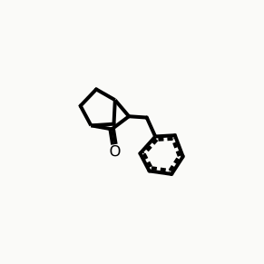 O=C1C2CCC(C2)C1Cc1ccccc1